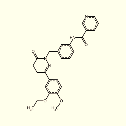 CCOc1cc(C2=NN(Cc3cccc(NC(=O)c4cccnc4)c3)C(=O)CC2)ccc1OC